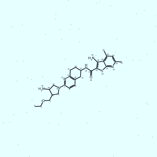 CCOCC1CN(c2ccc3c(n2)CCC(NC(=O)c2sc4nc(C)cc(C)c4c2N)C3)CC1N